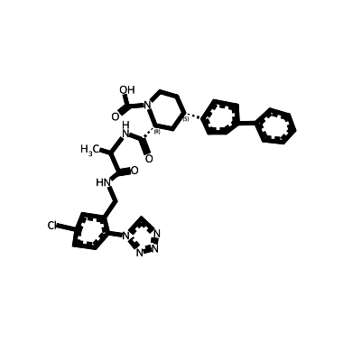 CC(NC(=O)[C@H]1C[C@@H](c2ccc(-c3ccccc3)cc2)CCN1C(=O)O)C(=O)NCc1cc(Cl)ccc1-n1cnnn1